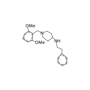 COc1cccc(OC)c1CN1CCC(NCCc2ccccc2)CC1